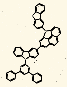 c1ccc(-c2cc(-c3ccccc3)nc(-n3c4ccccc4c4cc(-c5cc6ccc7cccc8c7c6c(c5)n8-c5ccc6sc7ccccc7c6c5)ccc43)n2)cc1